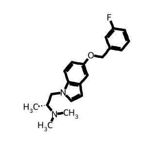 C[C@H](Cn1ccc2cc(OCc3cccc(F)c3)ccc21)N(C)C